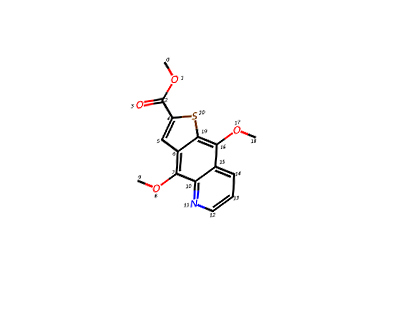 COC(=O)c1cc2c(OC)c3ncccc3c(OC)c2s1